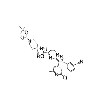 Cc1cc(-c2c(-c3cccc(C#N)c3)nn3ccc(C(=O)NC4(C#N)CCN(C(=O)OC(C)(C)C)CC4)nc23)cc(Cl)n1